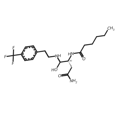 CCCCCC(=O)N[C@H](CC(N)=O)C(O)NCCc1ccc(C(F)(F)F)cc1